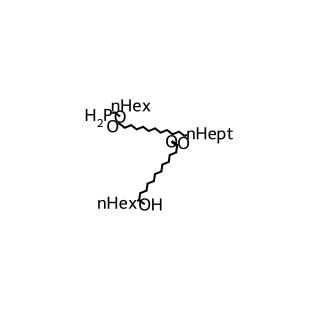 CCCCCCCC(CCCCCCCCCCC(=O)OC(P)CCCCCC)OC(=O)CCCCCCCCCCC(O)CCCCCC